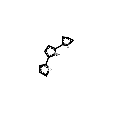 c1coc(-c2ccc(-c3cccs3)[nH]2)c1